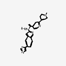 C=C(Nc1cc2cc(-c3cncs3)ccc2cn1)c1ccnc(C2=CCN(C)CC2)c1